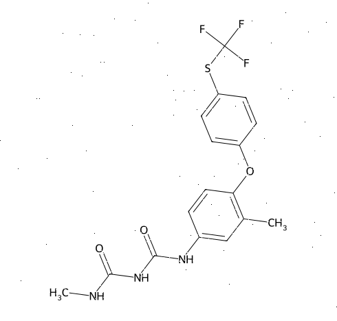 CNC(=O)NC(=O)Nc1ccc(Oc2ccc(SC(F)(F)F)cc2)c(C)c1